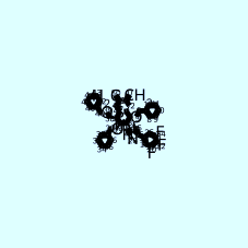 C=CC[C@@H]1[C@H](OCc2ccccc2)[C@H](n2cc(-c3cc(F)c(F)c(F)c3)nn2)[C@@H](OCc2ccccc2)[C@@H](COCc2ccccc2)[SH]1CC=C